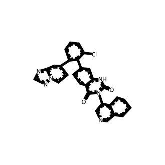 O=c1[nH]c2cc(-c3c(Cl)cccc3-c3ccn4ncnc4c3)ccc2c(=O)n1-c1cncc2ccccc12